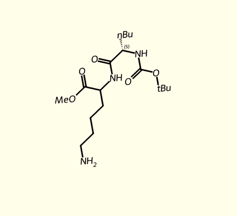 CCCC[C@H](NC(=O)OC(C)(C)C)C(=O)NC(CCCCN)C(=O)OC